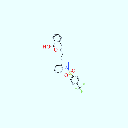 O=C(O)c1ccccc1CCCCCc1ccccc1NS(=O)(=O)c1ccc(C(F)(F)F)cc1